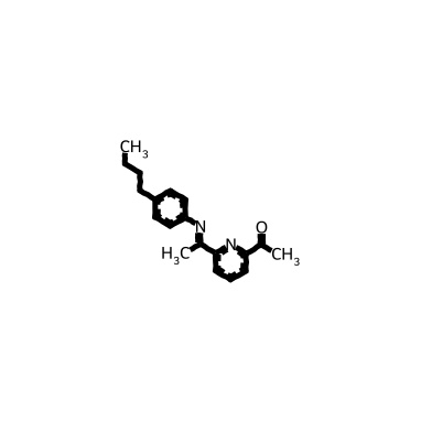 CCCCc1ccc(/N=C(\C)c2cccc(C(C)=O)n2)cc1